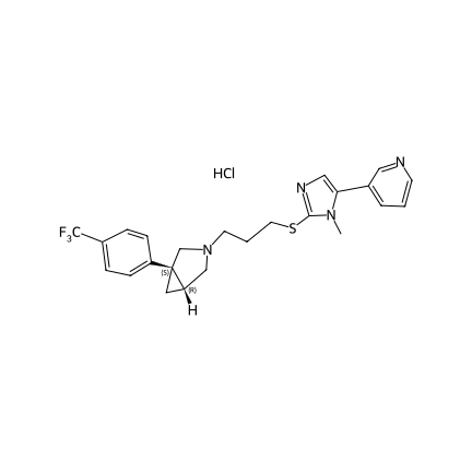 Cl.Cn1c(-c2cccnc2)cnc1SCCCN1C[C@@H]2C[C@]2(c2ccc(C(F)(F)F)cc2)C1